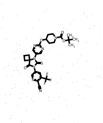 CC(C)(C)OC(=O)N1CCC(Oc2ncc(N3C(=S)N(c4cnc(C#N)c(C(F)(F)F)c4)C(=O)C34CCC4)cn2)CC1